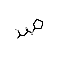 CC(O)CC(=O)NC1CCCCC1